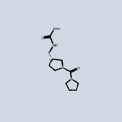 CNC(=O)NC[C@H]1CCN(C(=O)N2CCCC2)C1